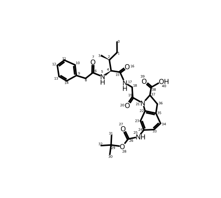 CC[C@H](C)[C@H](NC(=O)Cc1ccccc1)C(=O)NCC(=O)N1c2cc(NC(=O)OC(C)(C)C)ccc2CC1C(=O)O